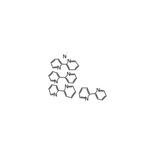 [N].c1ccc(-c2ccccn2)nc1.c1ccc(-c2ccccn2)nc1.c1ccc(-c2ccccn2)nc1.c1ccc(-c2ccccn2)nc1